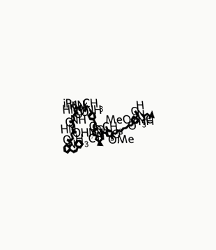 COc1cc(C(=O)N2CC3(CC3)C[C@@]2(C)[C@H](C)NC(=O)OCc2ccc(NC(=O)[C@H](C)NC(=O)[C@@H](NC(=O)CNC(=O)CNC(=O)CCC(=O)N3c4ccccc4C=Cc4ccccc43)C(C)C)cc2)c(C)cc1OCCCCCOc1cc2c(cc1OC)C(=O)NC(CC1(C)CC1)CN2